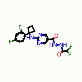 O=C(NNC(=O)C(F)F)c1cnc(NC2(c3ccc(F)cc3F)CCC2)nc1